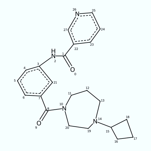 O=C(Nc1cccc(C(=O)N2CCCN(C3CCC3)CC2)c1)c1cccnc1